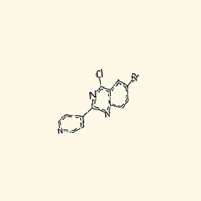 Clc1nc(-c2ccncc2)nc2ccc(Br)cc12